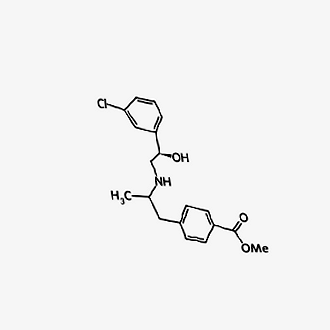 COC(=O)c1ccc(CC(C)NC[C@H](O)c2cccc(Cl)c2)cc1